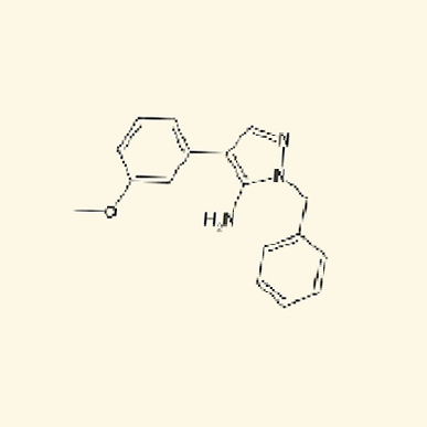 COc1cccc(-c2cnn(Cc3ccccc3)c2N)c1